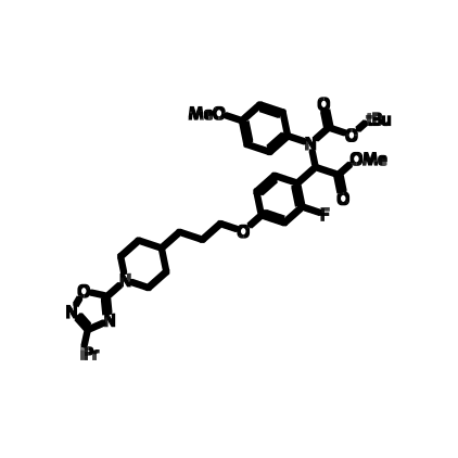 COC(=O)C(c1ccc(OCCCC2CCN(c3nc(C(C)C)no3)CC2)cc1F)N(C(=O)OC(C)(C)C)c1ccc(OC)cc1